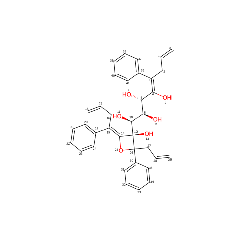 C=CCC(=C(O)[C@@H](O)[C@@H](O)[C@H](O)[C@@]1(O)C(=C(CC=C)c2ccccc2)OC1(CC=C)c1ccccc1)c1ccccc1